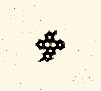 Oc1ccccc1-c1nc(N2CCCC2c2ccc(Cl)cc2)c2cc(F)ccc2n1